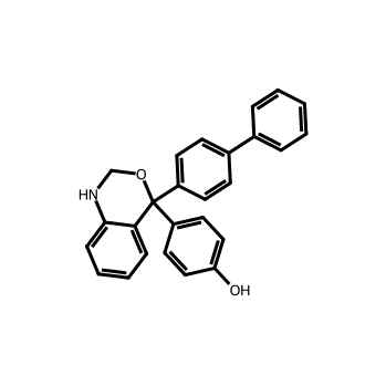 Oc1ccc(C2(c3ccc(-c4ccccc4)cc3)OCNc3ccccc32)cc1